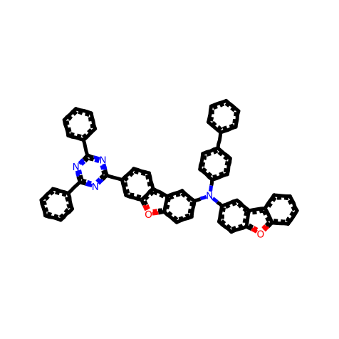 c1ccc(-c2ccc(N(c3ccc4oc5ccccc5c4c3)c3ccc4oc5cc(-c6nc(-c7ccccc7)nc(-c7ccccc7)n6)ccc5c4c3)cc2)cc1